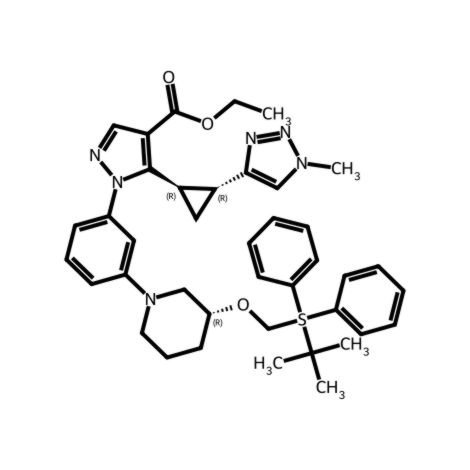 CCOC(=O)c1cnn(-c2cccc(N3CCC[C@@H](OCS(c4ccccc4)(c4ccccc4)C(C)(C)C)C3)c2)c1[C@@H]1C[C@H]1c1cn(C)nn1